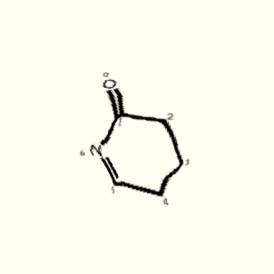 O=C1CCCC=N1